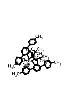 Cc1ccc(-c2ccc(-c3ccc(C)cc3)c3c2C=C(CC(C)(C)C)[CH]3[Zr]([Cl])([Cl])([CH]2C(CC(C)(C)C)=Cc3c(-c4ccc(C)cc4)ccc(-c4ccc(C)cc4)c32)[SiH](C)C)cc1